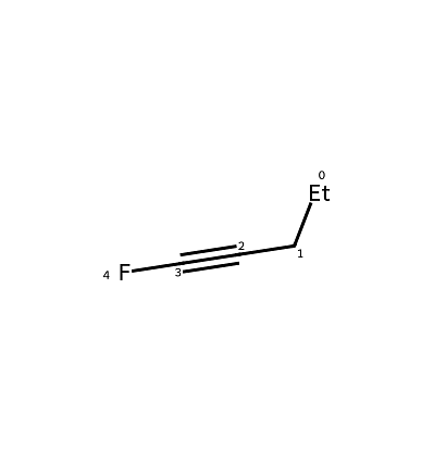 [CH2]CCC#CF